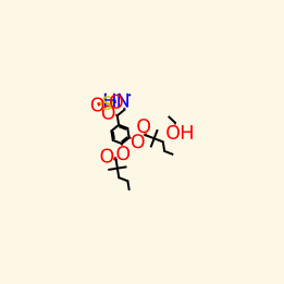 CCCC(C)(C)C(=O)Oc1ccc(C(CNC)OS(C)(=O)=O)cc1OC(=O)C(C)(C)CCC.CCO